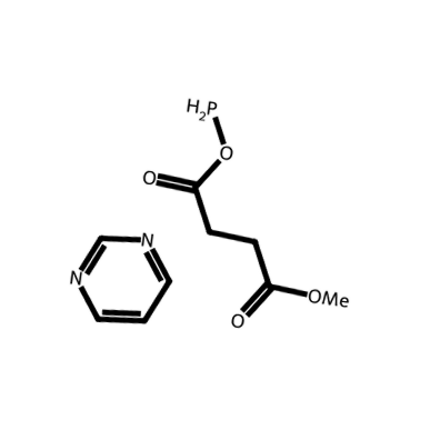 COC(=O)CCC(=O)OP.c1cncnc1